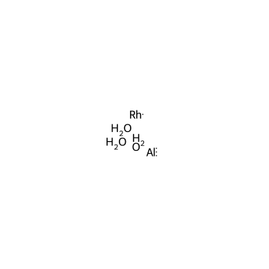 O.O.O.[Al].[Rh]